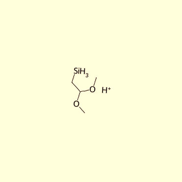 COC(C[SiH3])OC.[H+]